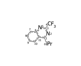 CC(C)c1nc(C(F)(F)F)nc2ccccc12